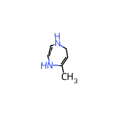 CC1=CCNC=CN1